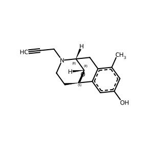 C#CCN1CC[C@]23CCCO[C@H]2[C@H]1Cc1c(C)cc(O)cc13